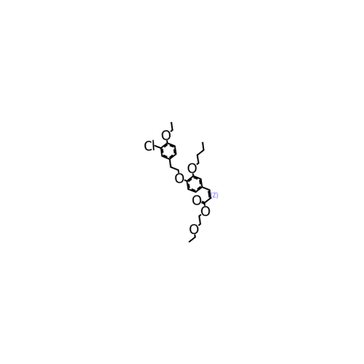 CCCCOc1cc(/C=C\C(=O)OCCOCC)ccc1OCCc1ccc(OCC)c(Cl)c1